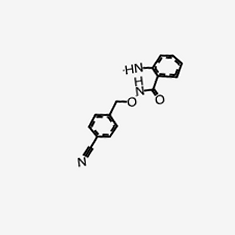 N#Cc1ccc(CONC(=O)c2ccccc2[NH])cc1